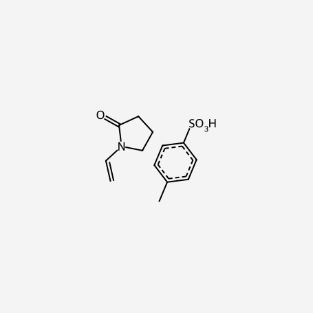 C=CN1CCCC1=O.Cc1ccc(S(=O)(=O)O)cc1